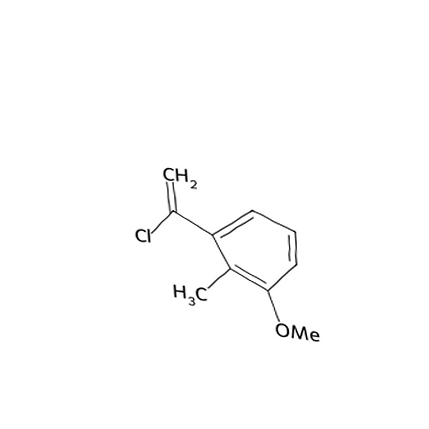 C=C(Cl)c1cccc(OC)c1C